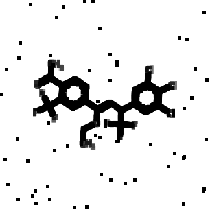 CCO/C(=C\C(c1cc(Cl)c(Cl)c(Cl)c1)C(F)(F)F)c1ccc(C(C)=O)c(C(F)(F)F)c1